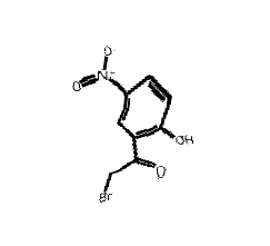 O=C(CBr)c1cc([N+](=O)[O-])ccc1O